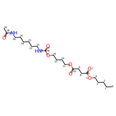 CCCCCOC(=O)CCC(=O)OCCCCOC(=O)NCCCCCCNC(C)=O